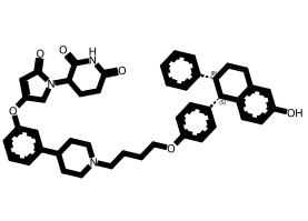 O=C1CCC(N2CC(Oc3cccc(C4CCN(CCCCOc5ccc([C@H]6c7ccc(O)cc7CC[C@H]6c6ccccc6)cc5)CC4)c3)=CC2=O)C(=O)N1